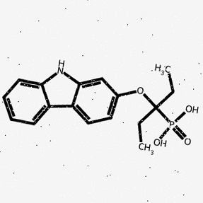 CCC(CC)(Oc1ccc2c(c1)[nH]c1ccccc12)P(=O)(O)O